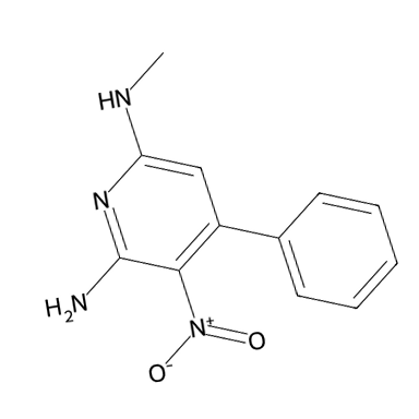 CNc1cc(-c2ccccc2)c([N+](=O)[O-])c(N)n1